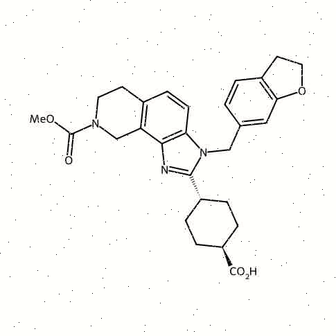 COC(=O)N1CCc2ccc3c(nc([C@H]4CC[C@H](C(=O)O)CC4)n3Cc3ccc4c(c3)OCC4)c2C1